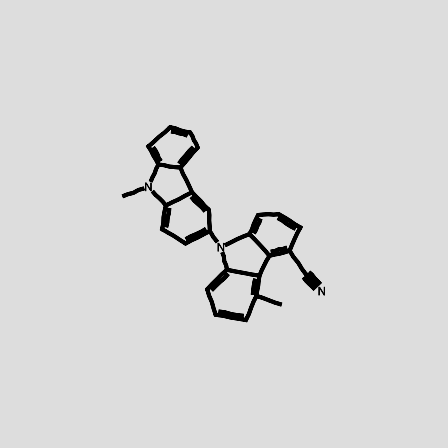 Cc1cccc2c1c1c(C#N)cccc1n2-c1ccc2c(c1)c1ccccc1n2C